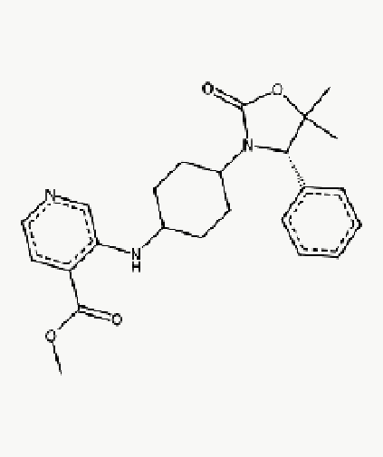 COC(=O)c1ccncc1NC1CCC(N2C(=O)OC(C)(C)[C@@H]2c2ccccc2)CC1